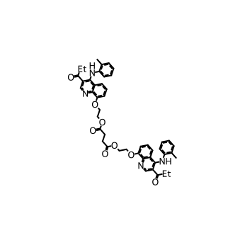 CCC(=O)c1cnc2c(OCCOC(=O)CCC(=O)OCCOc3cccc4c(Nc5ccccc5C)c(C(=O)CC)cnc34)cccc2c1Nc1ccccc1C